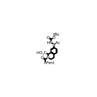 CCCCCC(=O)N1CCc2ccc(N(NC(=O)OC(C)(C)C)C(C)=O)cc2C1C(=O)O